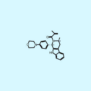 C=C(C)C(=O)N1[C@@H](c2ccc(N3CCOCC3)cc2)c2[nH]c3ccccc3c2C[C@@H]1C